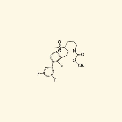 CC(C)(C)OC(=O)N1CCCC(S(C)(=O)=O)C1Cc1cccc(-c2cc(F)cc(F)c2)c1F